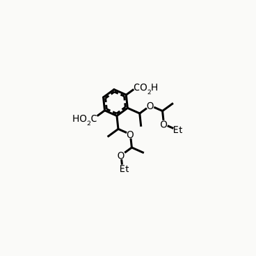 CCOC(C)OC(C)c1c(C(=O)O)ccc(C(=O)O)c1C(C)OC(C)OCC